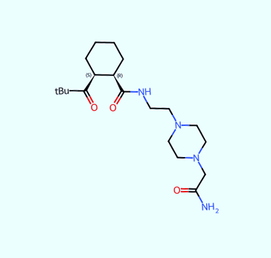 CC(C)(C)C(=O)[C@H]1CCCC[C@H]1C(=O)NCCN1CCN(CC(N)=O)CC1